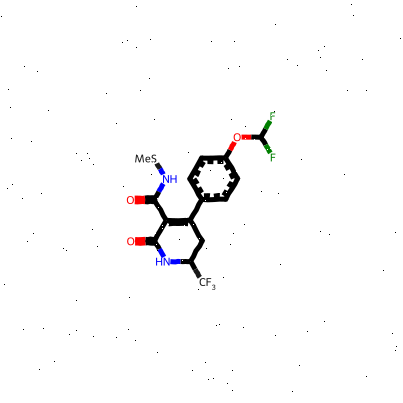 CSNC(=O)C1=C(c2ccc(OC(F)F)cc2)CC(C(F)(F)F)NC1=O